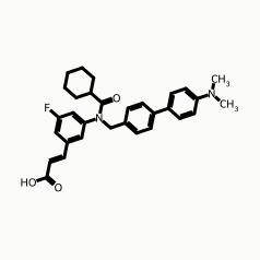 CN(C)c1ccc(-c2ccc(CN(C(=O)C3CCCCC3)c3cc(F)cc(C=CC(=O)O)c3)cc2)cc1